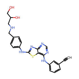 C#Cc1cccc(Nc2ncnc3nc(Nc4ccc(CNCC(O)CO)cc4)sc23)c1